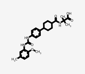 COc1ccc(C)cc1NC(=O)Nc1ccc(C2CCC(C(=O)NC(C)(C)C(=O)O)CC2)cc1